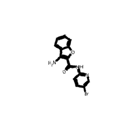 Nc1c(C(=O)Nc2ccc(Br)cn2)oc2ccccc12